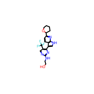 OCCNc1ncc(C(F)(F)F)c(-c2c[nH]c3nc(C4CCCCO4)ccc23)n1